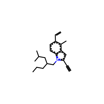 C#Cc1cc2c(C)c(C=C)ccc2n1CC(CCC)CC(C)C